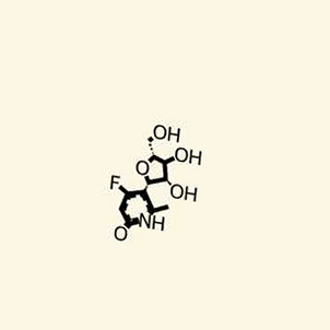 Cc1[nH]c(=O)cc(F)c1[C@@H]1O[C@H](CO)C(O)[C@@H]1O